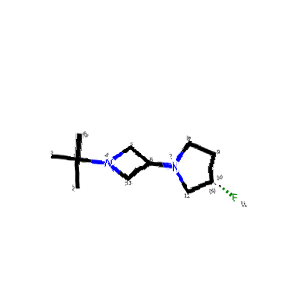 CC(C)(C)N1CC(N2CC[C@H](F)C2)C1